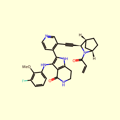 C=CC(=O)N1[C@H]2CC[C@H](C2)[C@@H]1C#Cc1cnccc1-c1[nH]c2c(c1Nc1cccc(F)c1OC)C(=O)NCC2